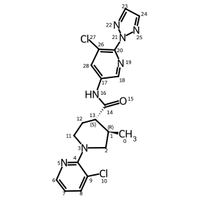 C[C@H]1CN(c2ncccc2Cl)CC[C@@H]1C(=O)Nc1cnc(-n2nccn2)c(Cl)c1